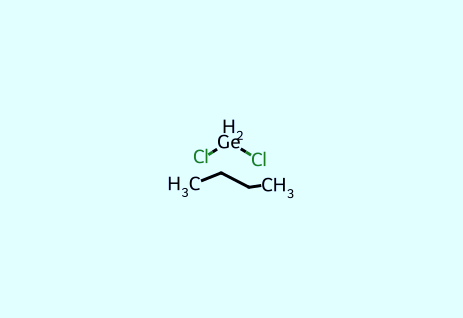 CCCC.[Cl][GeH2][Cl]